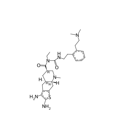 CCN(C(=O)NCCc1ccccc1CCN(C)C)C(=O)[C@@H]1C[C@@H]2Cc3c(sc(N)c3N)C[C@H]2N(C)C1